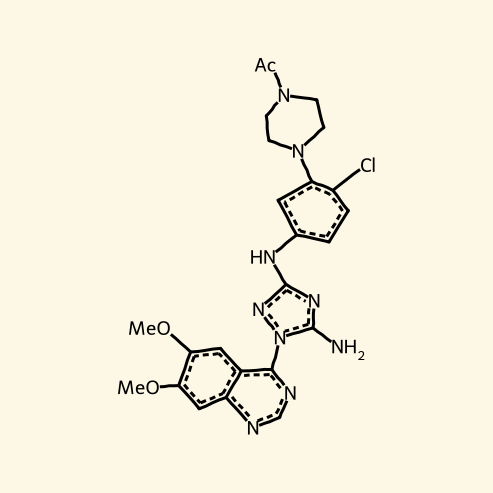 COc1cc2ncnc(-n3nc(Nc4ccc(Cl)c(N5CCN(C(C)=O)CC5)c4)nc3N)c2cc1OC